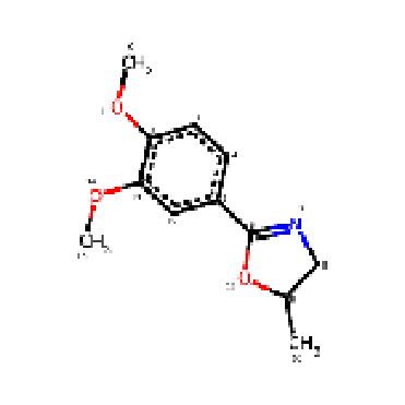 COc1ccc(C2=NCC(C)O2)cc1OC